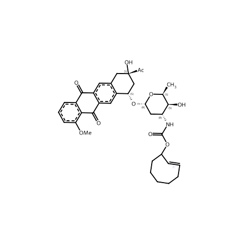 COc1cccc2c1C(=O)c1cc3c(cc1C2=O)C[C@@](O)(C(C)=O)C[C@@H]3O[C@H]1C[C@@H](NC(=O)OC2/C=C/CCCCC2)[C@H](O)[C@H](C)O1